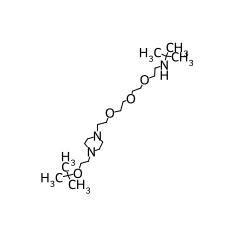 CC(C)(C)NCCOCCOCCOCCN1CCN(CCOC(C)(C)C)CC1